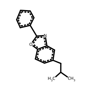 CC(C)Cc1ccc2oc(-c3ccccc3)nc2c1